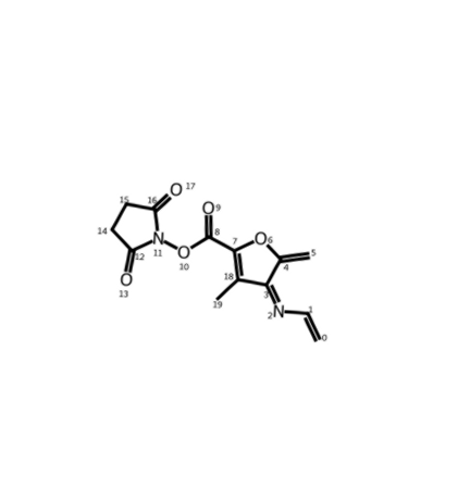 C=CN=C1C(=C)OC(C(=O)ON2C(=O)CCC2=O)=C1C